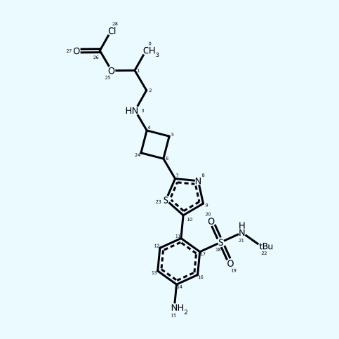 CC(CNC1CC(c2ncc(-c3ccc(N)cc3S(=O)(=O)NC(C)(C)C)s2)C1)OC(=O)Cl